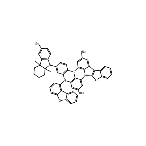 CC(C)(C)c1cc2c3c(c1)-n1c4oc5ccccc5c4c4cc(C(C)(C)C)cc(c41)B3c1ccc(N3c4ccc(C(C)(C)C)cc4C4(C)CCCCC34C)cc1N2c1cccc2oc3ccccc3c12